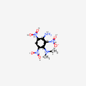 CN(C)c1c([N+](=O)[O-])cc([N+](=O)[O-])c(N)c1[N+](=O)[O-]